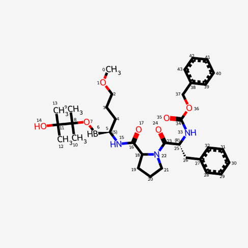 COCCC[C@H](BOC(C)(C)C(C)(C)O)NC(=O)C1CCCN1C(=O)[C@@H](Cc1ccccc1)NC(=O)OCc1ccccc1